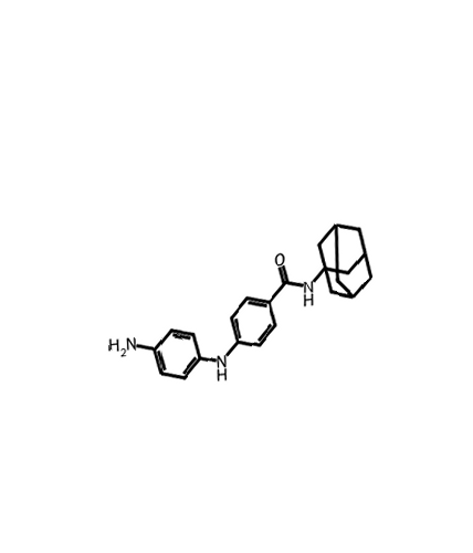 Nc1ccc(Nc2ccc(C(=O)NC34CC5CC(CC(C5)C3)C4)cc2)cc1